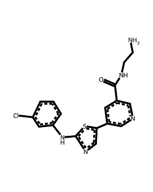 NCCNC(=O)c1cncc(-c2cnc(Nc3cccc(Cl)c3)s2)c1